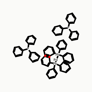 c1cc[c]([Pb]([Pd][Pb]([c]2ccccc2)([c]2ccccc2)[c]2ccccc2)([c]2ccccc2)[c]2ccccc2)cc1.c1ccc(P(c2ccccc2)c2ccccc2)cc1.c1ccc(P(c2ccccc2)c2ccccc2)cc1